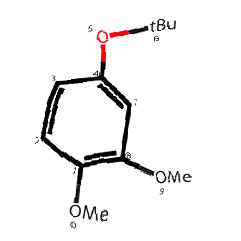 COc1ccc(OC(C)(C)C)cc1OC